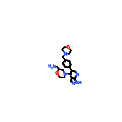 NCC1CN(c2c(-c3ccc(CN4CCOCC4)cc3)cnc3[nH]ncc23)CCO1